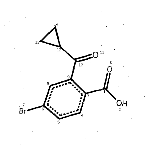 O=C(O)c1ccc(Br)cc1C(=O)C1CC1